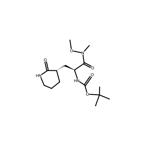 CON(C)C(=O)[C@H](C[C@@H]1CCCNC1=O)NC(=O)OC(C)(C)C